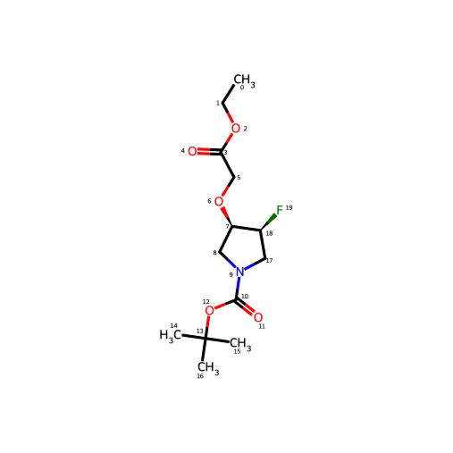 CCOC(=O)CO[C@@H]1CN(C(=O)OC(C)(C)C)C[C@@H]1F